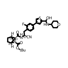 CC(C)(C)OC(=O)N1[C@@H]2CC[C@@H](C2)[C@H]1C(=O)N[C@H](C#N)Cc1ccc(-c2csc(C(O)NC3CCOCC3)c2)cc1F